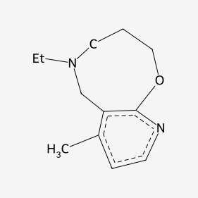 CCN1CCCOc2nccc(C)c2C1